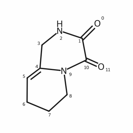 O=C1NCC2=CCCCN2C1=O